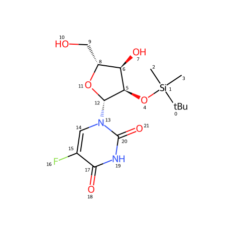 CC(C)(C)[Si](C)(C)O[C@@H]1[C@H](O)[C@@H](CO)O[C@H]1n1cc(F)c(=O)[nH]c1=O